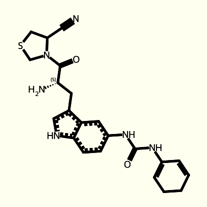 N#CC1CSCN1C(=O)[C@@H](N)Cc1c[nH]c2ccc(NC(=O)NC3=CCCC=C3)cc12